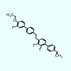 C=Cc1ccc(-c2ccc(CCc3ccc(-c4ccc(OCC)c(F)c4)cc3)c(F)c2F)cc1